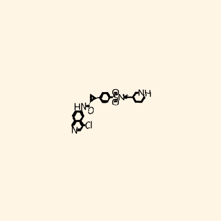 O=C(Nc1ccc2cncc(Cl)c2c1)[C@@H]1C[C@H]1c1ccc(S(=O)(=O)[N+]#CC2CCCNC2)cc1